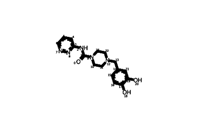 O=C(Nc1cccnn1)N1CCN(Cc2ccc(O)c(O)c2)CC1